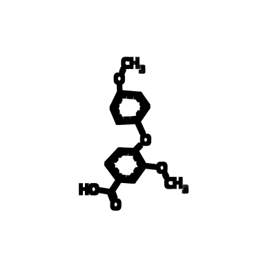 COc1ccc(Oc2ccc(C(=O)O)cc2OC)cc1